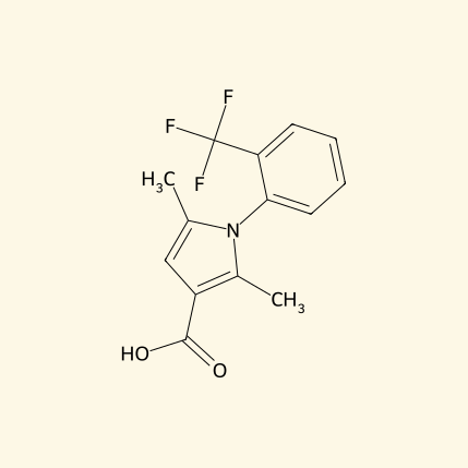 Cc1cc(C(=O)O)c(C)n1-c1ccccc1C(F)(F)F